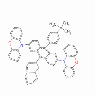 CC(C)(C)c1ccc(-c2c3ccc(N4c5ccccc5Oc5ccccc54)cc3c(C3=CC=C4C=CC=CC4C3)c3ccc(N4c5ccccc5Oc5ccccc54)cc23)cc1